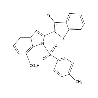 CCc1c(-c2cc3cccc(C(=O)O)c3n2S(=O)(=O)c2ccc(C)cc2)sc2ccccc12